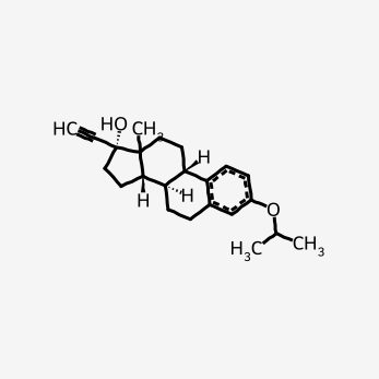 C#C[C@]1(O)CC[C@H]2[C@@H]3CCc4cc(OC(C)C)ccc4[C@H]3CCC21C